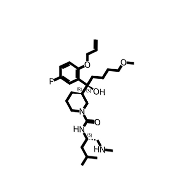 C=CCOc1ccc(F)cc1[C@](O)(CCCCOC)[C@@H]1CCCN(C(=O)N[C@H](CNC)CC(C)C)C1